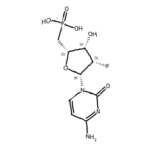 Nc1ccn([C@@H]2O[C@H](CP(=O)(O)O)[C@H](O)[C@@H]2F)c(=O)n1